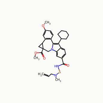 C=CCN(C)SNC(=O)c1ccc2c(C3CCCCC3)c3n(c2c1)CC1(C(=O)OC)CC1c1cc(OC)ccc1-3